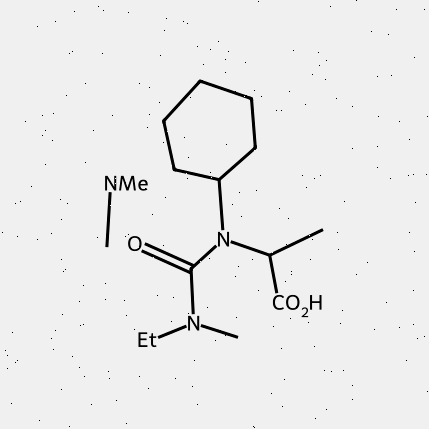 CCN(C)C(=O)N(C1CCCCC1)C(C)C(=O)O.CNC